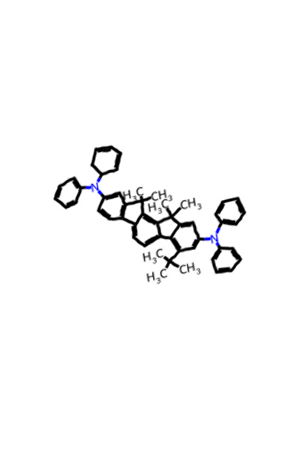 CC(C)(C)c1cc(N(c2ccccc2)c2ccccc2)cc2c1-c1ccc3c(c1C2(C)C)C(C)(C)c1cc(N(c2ccccc2)C2C=CC=CC2)ccc1-3